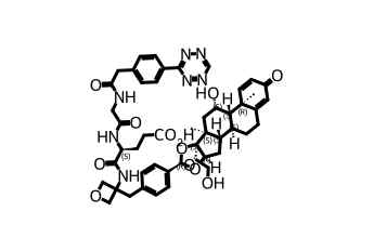 C[C@]12C=CC(=O)C=C1CC[C@@H]1[C@@H]2[C@@H](O)C[C@@]2(C)[C@H]1C[C@H]1O[C@@H](c3ccc(CC4(NC(=O)[C@H](CCC(=O)O)NC(=O)CNC(=O)Cc5ccc(-c6nncnn6)cc5)COC4)cc3)O[C@]12C(=O)CO